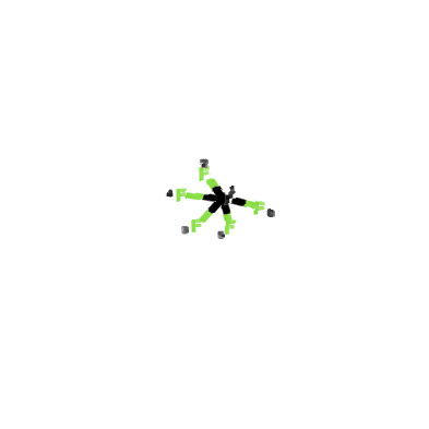 [F][Ir]([F])([F])([F])[F]